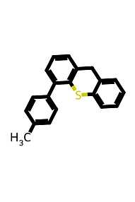 Cc1ccc(-c2cccc3c2Sc2ccccc2C3)cc1